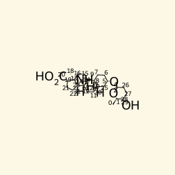 C[C@H]1O[C@H](O[C@H]2CC[C@@]3(C)[C@H](CC[C@@H]4[C@@H]3CC[C@]3(C)[C@@H](C(=O)O)CC[C@]43N)C2)CC[C@@H]1O